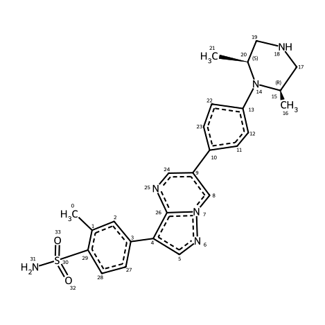 Cc1cc(-c2cnn3cc(-c4ccc(N5[C@H](C)CNC[C@@H]5C)cc4)cnc23)ccc1S(N)(=O)=O